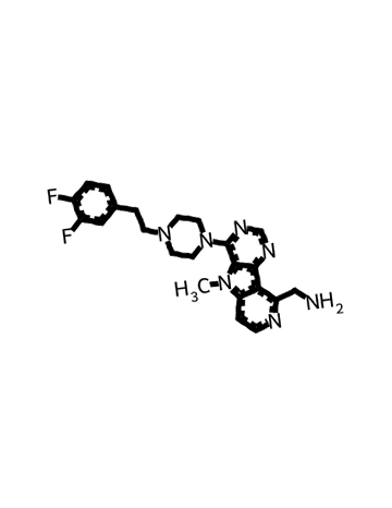 Cn1c2ccnc(CN)c2c2ncnc(N3CCN(CCc4ccc(F)c(F)c4)CC3)c21